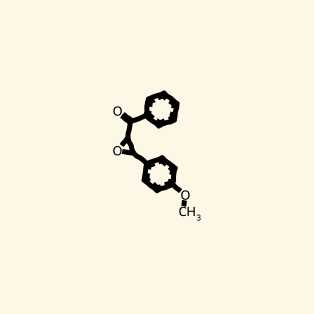 COc1ccc(C2OC2C(=O)c2ccccc2)cc1